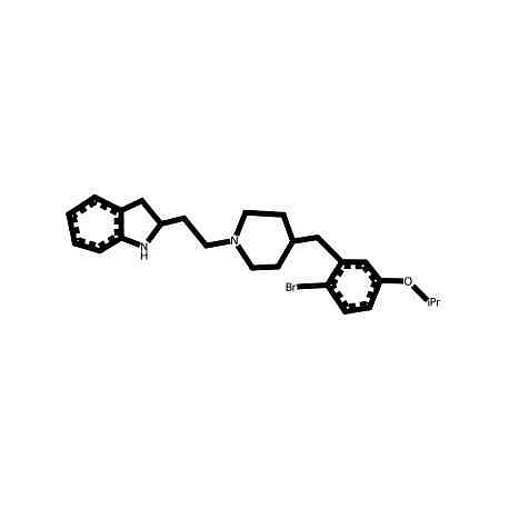 CC(C)Oc1ccc(Br)c(CC2CCN(CCC3Cc4ccccc4N3)CC2)c1